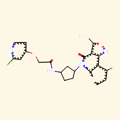 Cc1onc2c1c(=O)n(C1CCC(NC(=O)COc3ccnc(Cl)c3)C1)c1cccc(Cl)c21